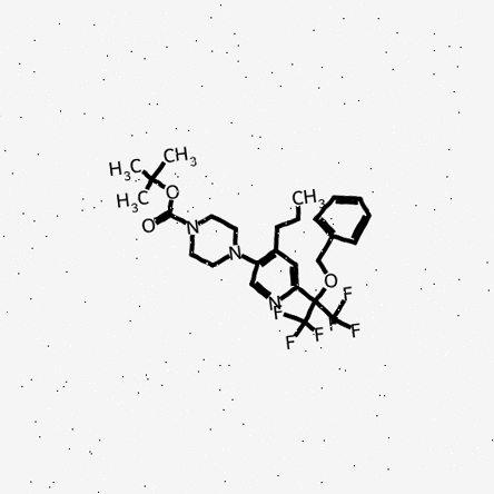 CCCc1cc(C(OCc2ccccc2)(C(F)(F)F)C(F)(F)F)ncc1N1CCN(C(=O)OC(C)(C)C)CC1